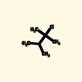 [CH2]C(C)C(C)(C)Cl